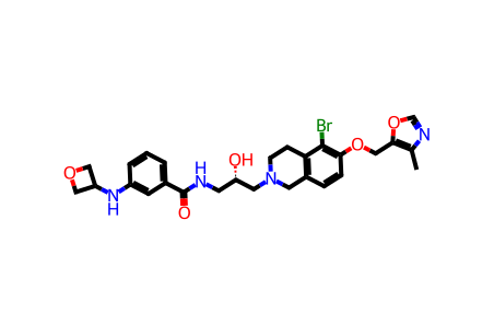 Cc1ncoc1COc1ccc2c(c1Br)CCN(C[C@@H](O)CNC(=O)c1cccc(NC3COC3)c1)C2